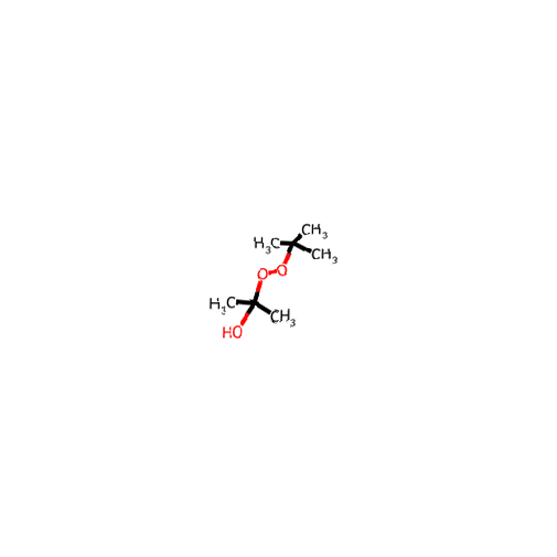 CC(C)(C)OOC(C)(C)O